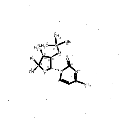 [C-]#[N+][C@]1(CC)O[C@@H](n2ccc(N)nc2=O)[C@H](O[Si](C)(C)C(C)(C)C)[C@@H]1C